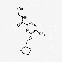 CC(C)(C)CNC(=O)c1ccc(C(F)(F)F)c(OCC2CCCO2)n1